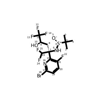 CC(C)(C)[S@@+]([O-])N[C@@](C[C@@H](O)C(F)(F)F)(c1nc(Br)ccc1F)C(F)F